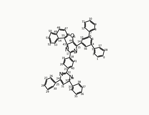 c1ccc(-c2cc(-c3ccccc3)cc(-c3nc(-c4ccc(-c5nc(-c6ccccc6)cc(-c6ccccc6)n5)cc4)nc4c3oc3ccc5ccccc5c34)c2)cc1